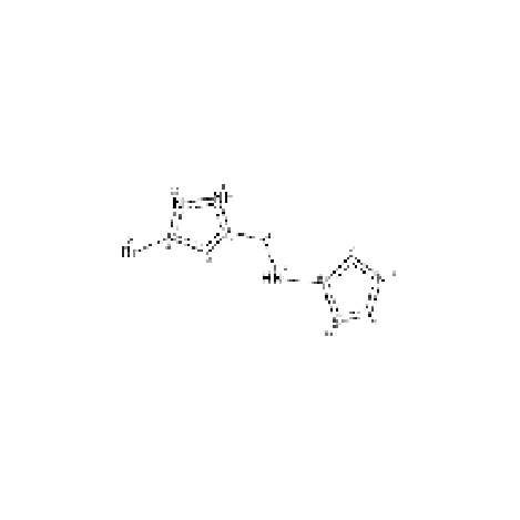 Brc1cc(CNc2cncs2)[nH]n1